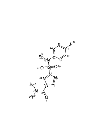 CCN(CC)C(=O)n1cnc(S(=O)(=O)N(CC)c2ccc(F)cc2)n1